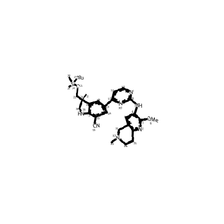 COc1nc2c(cc1Nc1nccc(-c3cc(C#N)c4c(c3)[C@@](C)(CO[Si](C)(C)C(C)(C)C)CN4)n1)CN(C)CC2